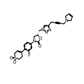 O=C1O[C@@H](Cn2cc(CC#CCN3CC=CC3)nn2)CN1c1ccc(C2=CCS(=O)(=O)CC2)c(F)c1